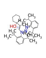 C/C(=C\N(/N=N/c1c(C(C)C)cccc1C(C)C)c1c(C(C)C)cccc1C(C)C)C1(O)CCCCC1